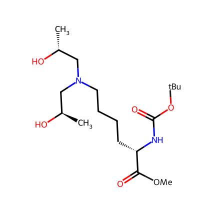 COC(=O)[C@H](CCCCN(C[C@@H](C)O)C[C@@H](C)O)NC(=O)OC(C)(C)C